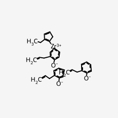 C=CCc1ccccc1[O-].C=CCc1ccccc1[O-].C=CCc1ccccc1[O-].CCC1=[C]([Zr+3])CC=C1